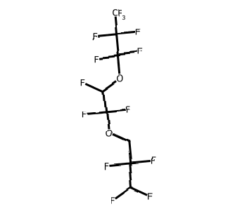 FC(F)C(F)(F)COC(F)(F)C(F)OC(F)(F)C(F)(F)C(F)(F)F